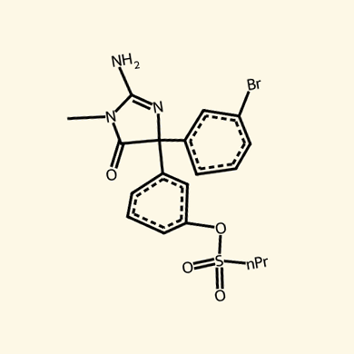 CCCS(=O)(=O)Oc1cccc(C2(c3cccc(Br)c3)N=C(N)N(C)C2=O)c1